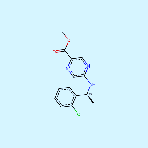 COC(=O)c1cnc(N[C@@H](C)c2ccccc2Cl)cn1